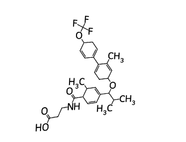 CC1=CC(OC(C2=CC(C)C(C(=O)NCCC(=O)O)C=C2)C(C)C)CC=C1C1=CCC(OC(F)(F)F)C=C1